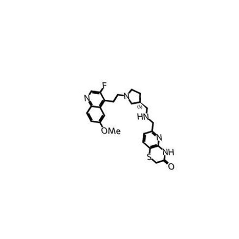 COc1ccc2ncc(F)c(CCN3CC[C@@H](CNCc4ccc5c(n4)NC(=O)CS5)C3)c2c1